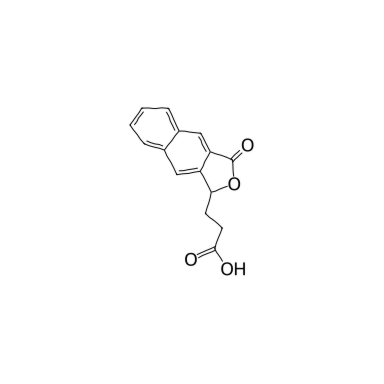 O=C(O)CCC1OC(=O)c2cc3ccccc3cc21